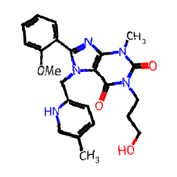 COc1ccccc1-c1nc2c(c(=O)n(CCCO)c(=O)n2C)n1CC1=CC=C(C)CN1